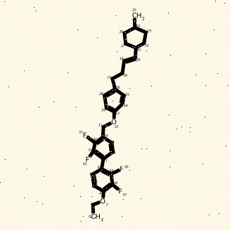 CCOc1ccc(-c2ccc(COc3ccc(CC/C=C/C4CCC(C)CC4)cc3)c(F)c2F)c(F)c1F